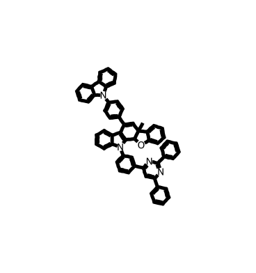 CC12C=C(c3ccc(-n4c5ccccc5c5ccccc54)cc3)c3c(n(-c4cccc(-c5cc(-c6ccccc6)nc(-c6ccccc6)n5)c4)c4ccccc34)C1Oc1ccccc12